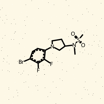 CN(C1CCN(c2ccc(Br)c(F)c2F)C1)S(C)(=O)=O